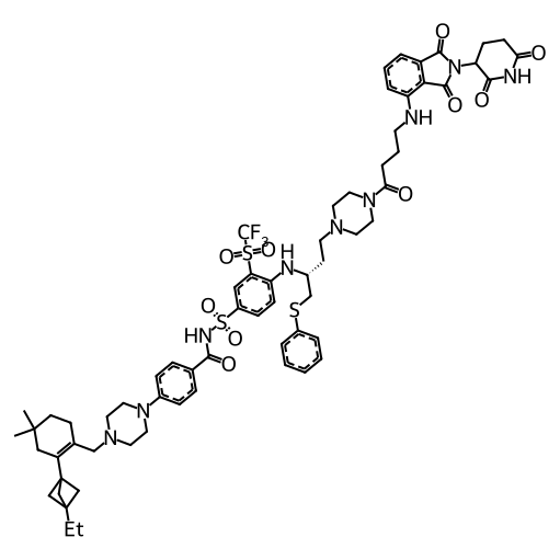 CCC12CC(C3=C(CN4CCN(c5ccc(C(=O)NS(=O)(=O)c6ccc(N[C@H](CCN7CCN(C(=O)CCCNc8cccc9c8C(=O)N(C8CCC(=O)NC8=O)C9=O)CC7)CSc7ccccc7)c(S(=O)(=O)C(F)(F)F)c6)cc5)CC4)CCC(C)(C)C3)(C1)C2